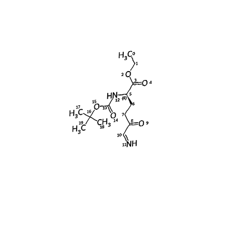 CCOC(=O)[C@@H](CCC(=O)C=N)NC(=O)OC(C)(C)C